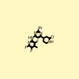 Cc1c(F)c(F)nc(Nc2cc(C3CCNC(=O)C3)nc(C(C)C)n2)c1F